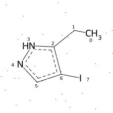 CCc1[nH]ncc1I